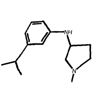 CC(C)c1cccc(NC2CCN(C)C2)c1